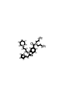 CC(C)CCN(CCC(C)C)C(=O)c1ccc2nc(Cc3cccs3)n(CCCN3CCCCC3)c2c1